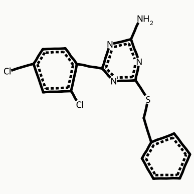 Nc1nc(SCc2ccccc2)nc(-c2ccc(Cl)cc2Cl)n1